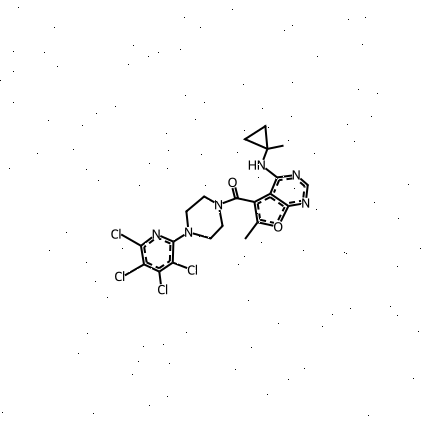 Cc1oc2ncnc(NC3(C)CC3)c2c1C(=O)N1CCN(c2nc(Cl)c(Cl)c(Cl)c2Cl)CC1